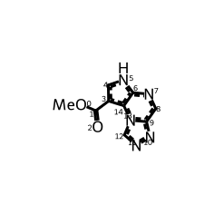 COC(=O)c1c[nH]c2ncc3nncn3c12